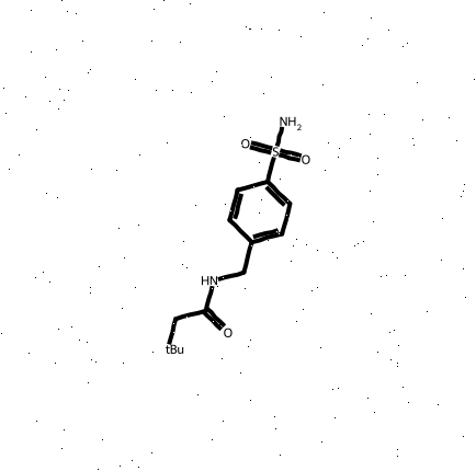 CC(C)(C)CC(=O)NCc1ccc(S(N)(=O)=O)cc1